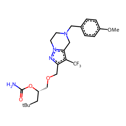 COc1ccc(CN2CCn3nc(COC[C@H](CC(C)(C)C)OC(N)=O)c(C(F)(F)F)c3C2)cc1